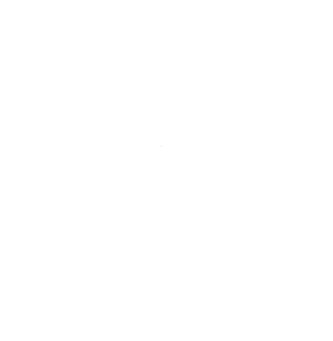 Cc1cc(C=CCS(=O)(=O)n2c(Cc3ccc(C(=O)O)cc3)cc3cc(Cl)ccc32)ccc1Cl